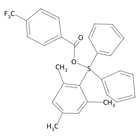 Cc1cc(C)c(S(OC(=O)c2ccc(C(F)(F)F)cc2)(c2ccccc2)c2ccccc2)c(C)c1